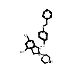 N#Cc1cc(Cl)cc2c1C[C@H](N1CCNCC1)[C@H]2Oc1ccc(SCc2ccccc2)cc1